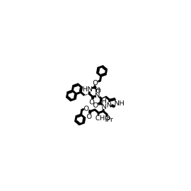 CC(C)CC(NC(=O)[C@H](Cc1c[nH]cn1)NC(=O)[C@H](Cc1cccc2ccccc12)NC(=O)OCc1ccccc1)C(C=O)CC(=O)OCc1ccccc1